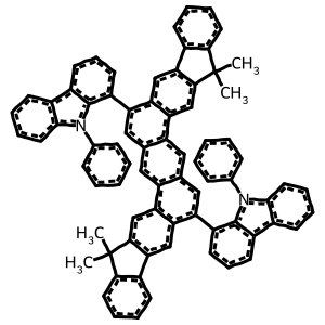 CC1(C)c2ccccc2-c2cc3c(-c4cccc5c6ccccc6n(-c6ccccc6)c45)cc4cc5c(cc(-c6cccc7c8ccccc8n(-c8ccccc8)c67)c6cc7c(cc65)C(C)(C)c5ccccc5-7)cc4c3cc21